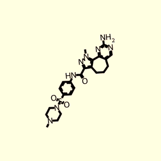 CN1CCN(S(=O)(=O)c2ccc(NC(=O)c3nn(C)c4c3CCCc3cnc(N)nc3-4)cc2)CC1